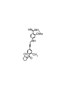 COc1cc(NCC#Cc2ccc(C(=O)N3CCCC3C)c(C)c2)ccc1C(=N)N